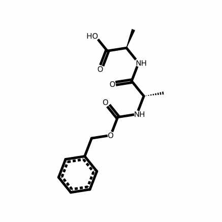 C[C@H](NC(=O)OCc1ccccc1)C(=O)N[C@H](C)C(=O)O